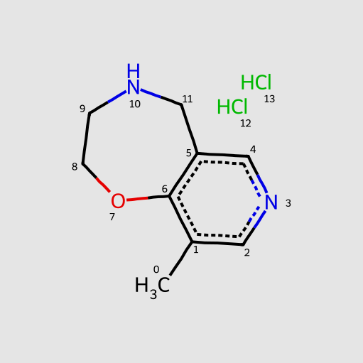 Cc1cncc2c1OCCNC2.Cl.Cl